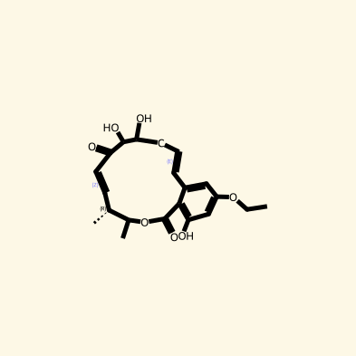 CCOc1cc(O)c2c(c1)/C=C/CC(O)C(O)C(=O)/C=C\[C@@H](C)C(C)OC2=O